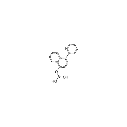 OB(O)Oc1ccc(-c2ccccn2)c2ccccc12